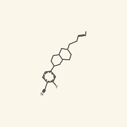 C/C=C/CCC1CCC2CC(c3ccc(C#N)c(F)c3)CCC2C1